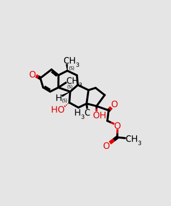 CC(=O)OCC(=O)C1(O)CCC2C3C[C@H](C)C4=CC(=O)C=CC4(C)[C@H]3[C@@H](O)CC21C